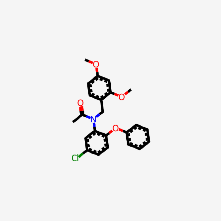 COc1ccc(CN(C(C)=O)c2cc(Cl)ccc2Oc2ccccc2)c(OC)c1